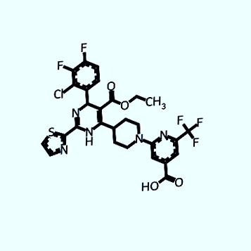 CCOC(=O)C1=C(C2CCN(c3cc(C(=O)O)cc(C(F)(F)F)n3)CC2)NC(c2nccs2)=NC1c1ccc(F)c(F)c1Cl